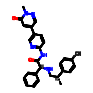 C[C@H](CN[C@@H](C(=O)Nc1ccc(-c2cnn(C)c(=O)c2)cn1)c1ccccc1)c1ccc(C#N)cc1